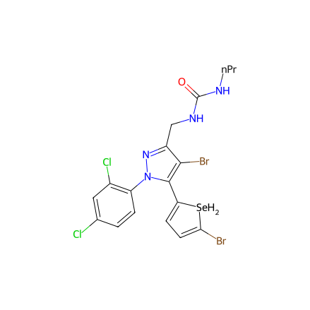 CCCNC(=O)NCc1nn(-c2ccc(Cl)cc2Cl)c(C2=CC=C(Br)[SeH2]2)c1Br